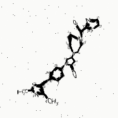 Cc1nc(C)c(-c2ccc(N3CC(N4CCN(C(=O)c5nccs5)CC4)CC3=O)cc2)s1